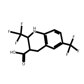 O=C(O)C1Cc2cc(C(F)(F)F)ccc2NC1C(F)(F)F